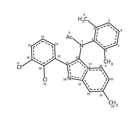 CC(=O)N(c1c(C)cccc1C)c1c(-c2cccc(Cl)c2Cl)nc2cc(C)ccn12